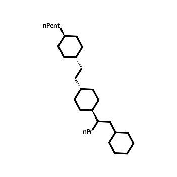 CCCCC[C@H]1CC[C@H](CC[C@H]2CC[C@H](C(CCC)CC3CCCCC3)CC2)CC1